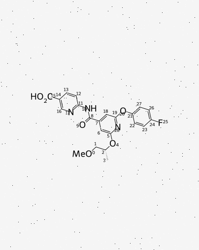 COC[C@@H](C)Oc1cc(C(=O)Nc2ccc(C(=O)O)cn2)cc(Oc2ccc(F)cc2)n1